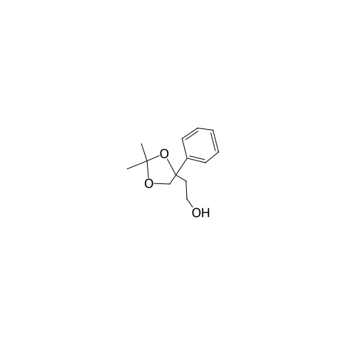 CC1(C)OCC(CCO)(c2ccccc2)O1